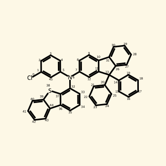 Clc1cccc(N(c2ccc3c(c2)C(c2ccccc2)(c2ccccc2)c2ccccc2-3)c2cccc3c2sc2ccccc23)c1